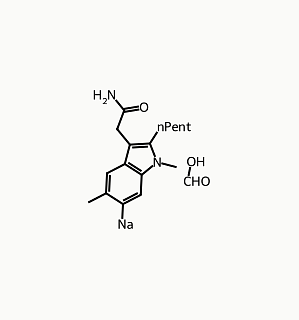 CCCCCc1c(CC(N)=O)c2cc(C)[c]([Na])cc2n1C.O=CO